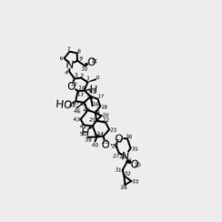 C[C@@H]1CC(CN2CCCC2C=O)OC2[C@H]1C1(C)CCC34CC35CCC(O[C@H]3CN(C(=O)CC6CC6)CCO3)C(C)(C)[C@@H]5CCC4[C@]1(C)[C@H]2O